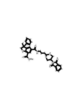 CNC(=O)c1cc(C(=O)NCCCC2OCC(N3C(=O)c4ccccc4C3=O)CO2)cc2c1OCC2(C)c1ccccc1